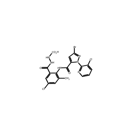 Cc1cc(Cl)cc(C(=O)NNC(=O)O)c1NC(=O)c1cc(Br)nn1-c1ncccc1Cl